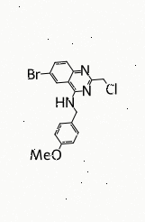 COc1ccc(CNc2nc(CCl)nc3ccc(Br)cc23)cc1